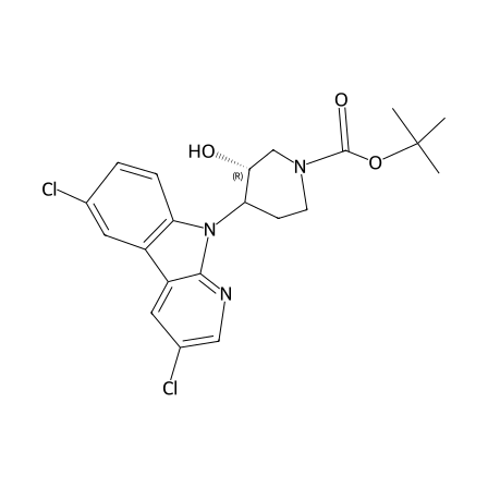 CC(C)(C)OC(=O)N1CCC(n2c3ccc(Cl)cc3c3cc(Cl)cnc32)[C@H](O)C1